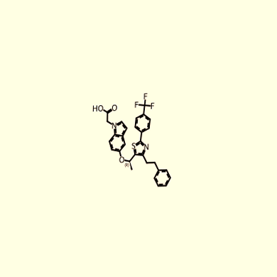 C[C@@H](Oc1ccc2c(ccn2CC(=O)O)c1)c1sc(-c2ccc(C(F)(F)F)cc2)nc1CCc1ccccc1